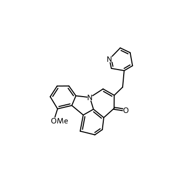 COc1cccc2c1c1cccc3c(=O)c(Cc4cccnc4)cn2c31